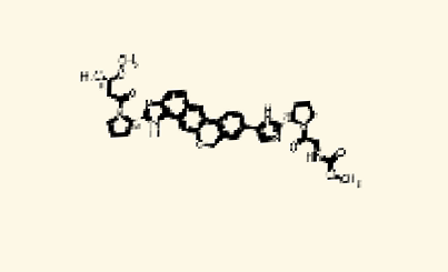 COC(=O)NCC(=O)N1CCC[C@H]1c1ncc(-c2ccc3c(c2)COc2cc4c(ccc5nc([C@@H]6CCCN6C(=O)C[C@@H](C)OC)[nH]c54)cc2-3)[nH]1